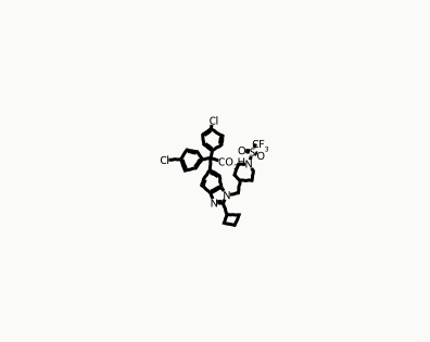 O=C(O)C(c1ccc(Cl)cc1)(c1ccc(Cl)cc1)c1ccc2nc(C3CCC3)n(CC3CCN(S(=O)(=O)C(F)(F)F)CC3)c2c1